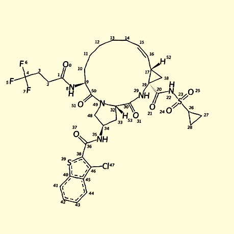 O=C(CCC(F)(F)F)N[C@H]1CCCCC/C=C\[C@@H]2C[C@@]2(C(=O)NS(=O)(=O)C2CC2)NC(=O)[C@@H]2C[C@@H](NC(=O)c3sc4ccccc4c3Cl)CN2C1=O